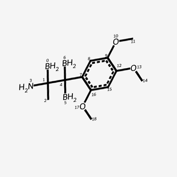 BC(C)(N)C(B)(B)c1cc(OC)c(OC)cc1OC